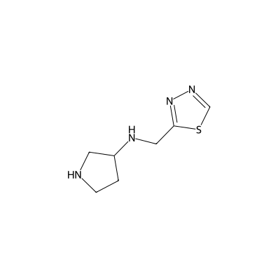 c1nnc(CNC2CCNC2)s1